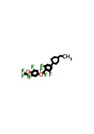 CCC1CCC(c2cc(F)c(C(F)(F)Oc3cc(F)c(OC(F)(F)F)c(F)c3)c(F)c2)CC1